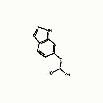 OB(O)Oc1ccc2cn[nH]c2c1